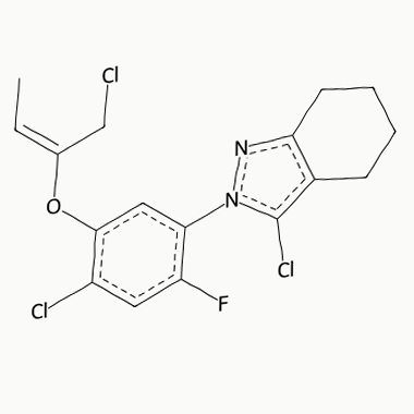 CC=C(CCl)Oc1cc(-n2nc3c(c2Cl)CCCC3)c(F)cc1Cl